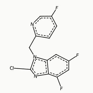 Fc1ccc(Cn2c(Cl)nc3c(F)cc(F)cc32)nc1